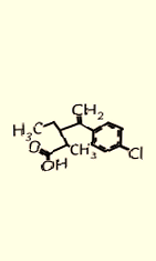 C=C(c1ccc(Cl)cc1)C(CC)C(C)C(=O)O